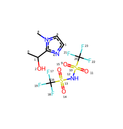 CC(O)c1nccn1C.O=S(=O)(NS(=O)(=O)C(F)(F)F)C(F)(F)F